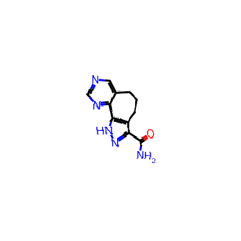 NC(=O)c1n[nH]c2c1CCCc1cncnc1-2